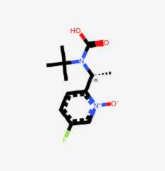 C[C@H](c1ccc(F)c[n+]1[O-])N(C(=O)O)C(C)(C)C